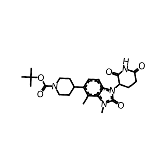 Cc1c(C2CCN(C(=O)OC(C)(C)C)CC2)ccc2c1n(C)c(=O)n2C1CCC(=O)NC1=O